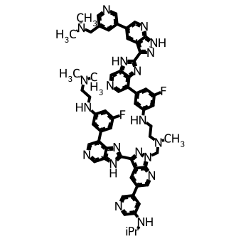 CC(C)Nc1cncc(-c2cnc3c(c2)c(-c2nc4c(-c5cc(F)cc(NCCN(C)C)c5)cncc4[nH]2)nn3CN(C)CCNc2cc(F)cc(-c3cncc4[nH]c(-c5n[nH]c6ncc(-c7cncc(CN(C)C)c7)cc56)nc34)c2)c1